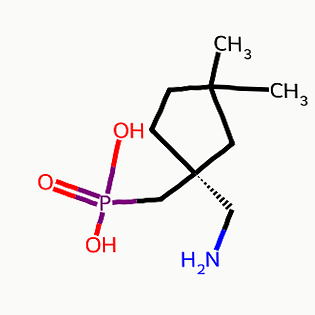 CC1(C)CC[C@](CN)(CP(=O)(O)O)C1